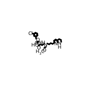 COCCN(CCCCc1ccc2c(n1)NCCC2)CCC(NC(=O)OCc1cccc(Cl)c1)C(=O)O